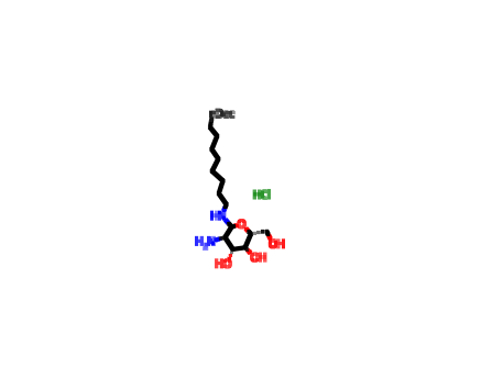 CCCCCCCCCCCCCCCCCCNC1O[C@H](CO)[C@@H](O)[C@H](O)[C@H]1N.Cl